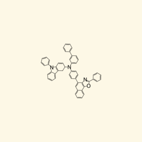 C1=CC(N(c2ccc(-c3cc4ccccc4c4oc(-c5ccccc5)nc34)cc2)c2cccc(-c3ccccc3)c2)Cc2c1n(-c1ccccc1)c1ccccc21